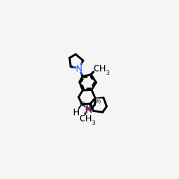 Cc1cc2c(cc1N1CCCC1)C[C@@H]1[C@H]3CCCC[C@]23CCN1C